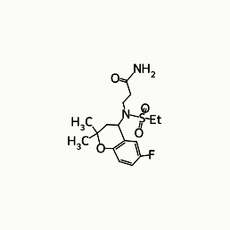 CCS(=O)(=O)N(CCC(N)=O)C1CC(C)(C)Oc2ccc(F)cc21